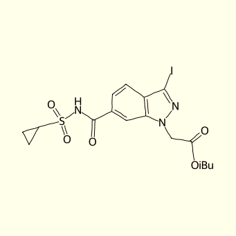 CC(C)COC(=O)Cn1nc(I)c2ccc(C(=O)NS(=O)(=O)C3CC3)cc21